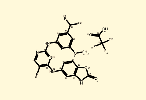 COc1cc(Nc2ncc(F)c(Nc3ccc4oc(=O)[nH]c4c3)n2)cc(C(F)F)c1.O=C(O)C(F)(F)F